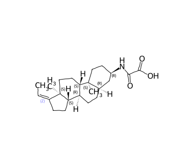 C/C=C1/CC[C@H]2[C@@H]3CC[C@@H]4C[C@H](NC(=O)C(=O)O)CC[C@]4(C)[C@H]3CC[C@]12C